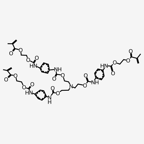 C=C(C)C(=O)OCCOC(=O)Nc1ccc(NC(=O)OCCN(CCOC(=O)Nc2ccc(NC(=O)OCCOC(=O)C(=C)C)cc2)CCOC(=O)Nc2ccc(NC(=O)OCCOC(=O)C(=C)C)cc2)cc1